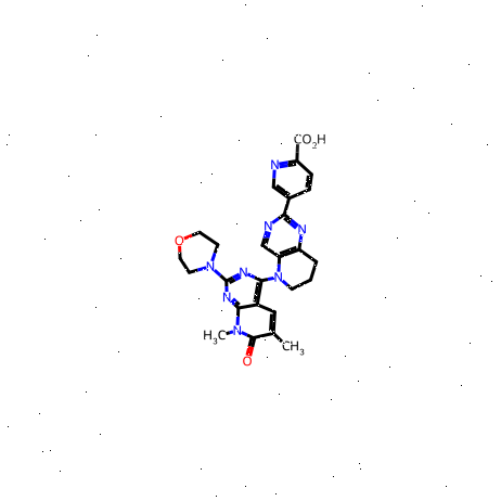 Cc1cc2c(N3CCCc4nc(-c5ccc(C(=O)O)nc5)ncc43)nc(N3CCOCC3)nc2n(C)c1=O